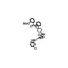 COc1ccccc1C(=O)NC[C@]1(c2ccccc2)CC[C@H](NS(=O)(=O)NCCNc2nccc(Cl)n2)CC1